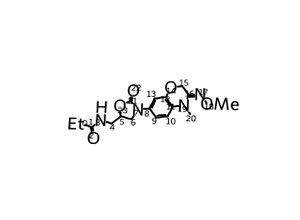 CCC(=O)NCC1CN(c2ccc3c(c2)OCC(=NOC)N3C)C(=O)O1